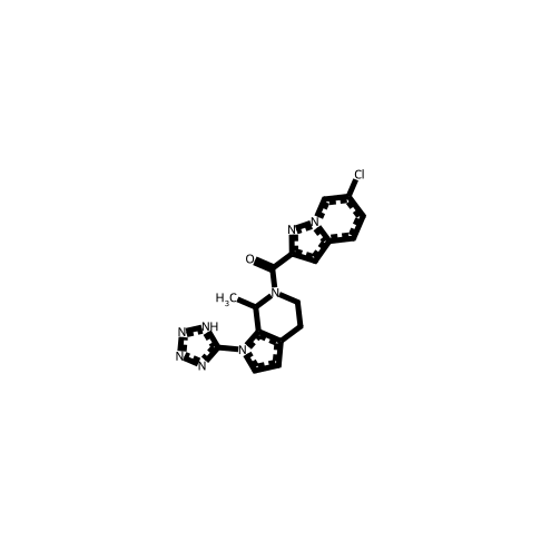 CC1c2c(ccn2-c2nnn[nH]2)CCN1C(=O)c1cc2ccc(Cl)cn2n1